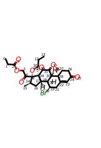 CCC(=O)OCC(=O)[C@]1(OC(=O)CC)[C@H](C)C[C@H]2[C@@H]3[C@H](Br)CC4=CC(=O)CC[C@]4(C)[C@H]3C(=O)C[C@@]21C